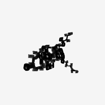 CCCCCOC(=O)O[C@]1(C(=O)COC(=O)CCC)[C@H](C)C[C@H]2[C@@H]3CCC4=CC(=O)C=C[C@]4(C)[C@@]3(Cl)C(O)C[C@@]21C